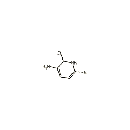 CCC1NC(Br)=CC=C1N